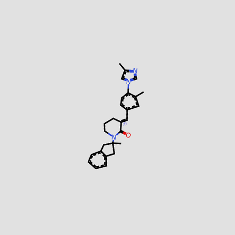 Cc1cn(-c2ccc(/C=C3\CCCN(C4(C)Cc5ccccc5C4)C3=O)cc2C)cn1